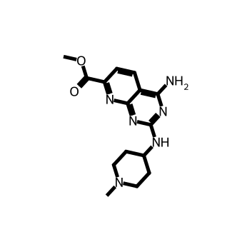 COC(=O)c1ccc2c(N)nc(NC3CCN(C)CC3)nc2n1